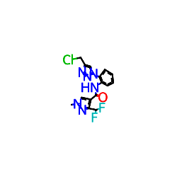 Cn1cc(C(=O)Nc2ccccc2-n2cc(CCl)nn2)c(C(F)F)n1